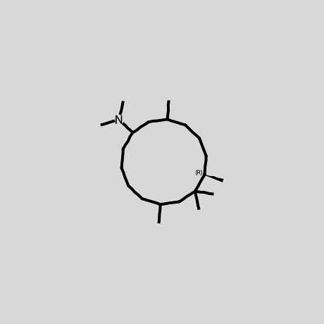 CC1CCC[C@@H](C)C(C)(C)CC(C)CCCCC(N(C)C)C1